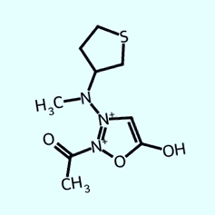 CC(=O)[n+]1oc(O)c[n+]1N(C)C1CCSC1